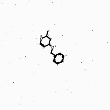 CC1CC(OCc2ccccc2)C=CO1